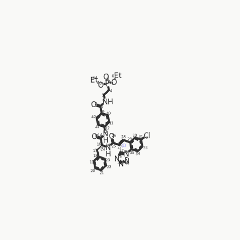 CCOP(=O)(CCNC(=O)c1ccc(NC(=O)[C@H](Cc2ccccc2)NC(=O)/C=C/c2cc(Cl)ccc2-n2cnnn2)cc1)OCC